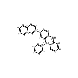 c1ccc(Nc2ccc(-c3ccc4ccccc4c3)cc2Nc2ccccc2)cc1